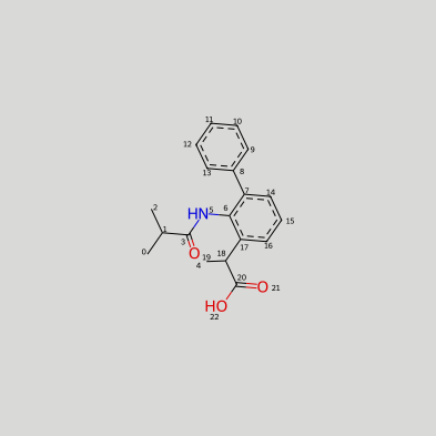 CC(C)C(=O)Nc1c(-c2ccccc2)cccc1C(C)C(=O)O